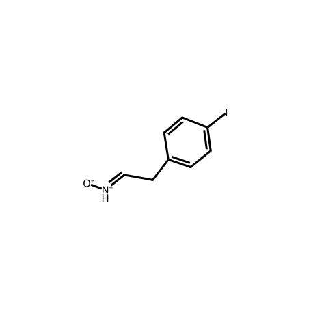 [O-][NH+]=CCc1ccc(I)cc1